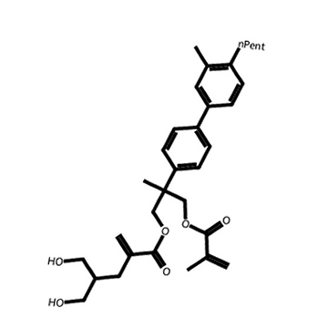 C=C(C)C(=O)OCC(C)(COC(=O)C(=C)CC(CO)CO)c1ccc(-c2ccc(CCCCC)c(C)c2)cc1